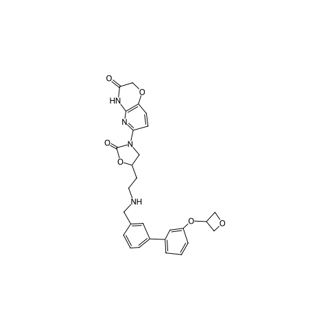 O=C1COc2ccc(N3CC(CCNCc4cccc(-c5cccc(OC6COC6)c5)c4)OC3=O)nc2N1